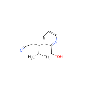 CC(C)C(CC#N)c1cccnc1CO